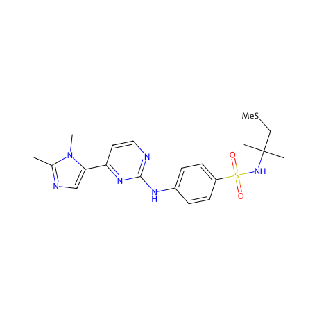 CSCC(C)(C)NS(=O)(=O)c1ccc(Nc2nccc(-c3cnc(C)n3C)n2)cc1